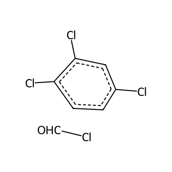 Clc1ccc(Cl)c(Cl)c1.O=CCl